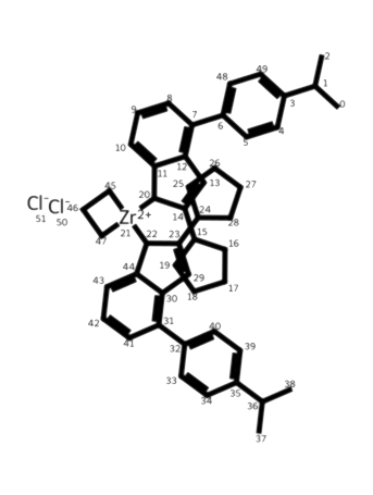 CC(C)c1ccc(-c2cccc3c2C=C(C2CCCC2)[CH]3[Zr+2]2([CH]3C(C4CCCC4)=Cc4c(-c5ccc(C(C)C)cc5)cccc43)[CH2]C[CH2]2)cc1.[Cl-].[Cl-]